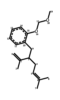 C=C(C)C(CC=C(C)C)Cc1ccccc1OCOC